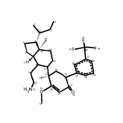 CCC(C)[C@H]1CC[C@H]2C(CCN)C([C@@]3(C)CC(c4cccc(C(F)(F)F)c4)C(=O)C=C3OC)CC[C@]12C